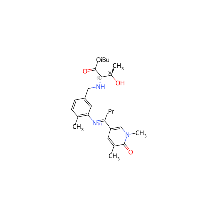 Cc1ccc(CN[C@H](C(=O)OCC(C)C)[C@@H](C)O)cc1/N=C(/c1cc(C)c(=O)n(C)c1)C(C)C